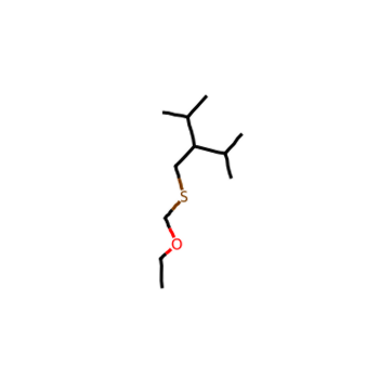 CCOCSCC(C(C)C)C(C)C